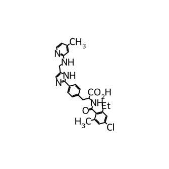 CCc1cc(Cl)cc(C)c1C(=O)NC(Cc1ccc(-c2ncc(CNc3cc(C)ccn3)[nH]2)cc1)C(=O)O